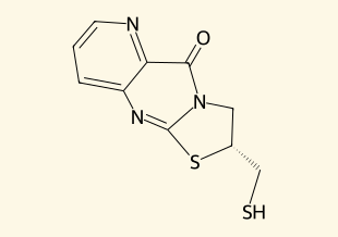 O=c1c2ncccc2nc2n1C[C@H](CS)S2